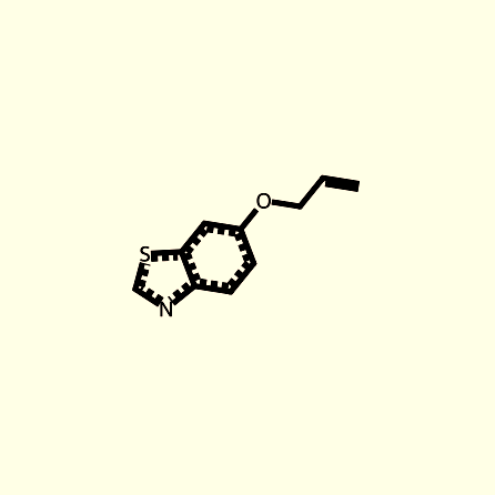 C=CCOc1ccc2ncsc2c1